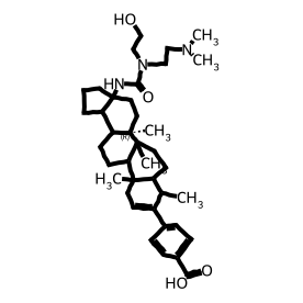 CC1C(c2ccc(C(=O)O)cc2)=CCC2(C)C1CCC1(C)C2CCC2C3CCCC3(NC(=O)N(CCO)CCN(C)C)CC[C@]21C